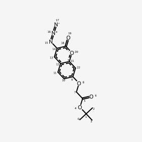 CC(C)(C)OC(=O)COc1ccc2cc(N=[N+]=[N-])c(=O)oc2c1